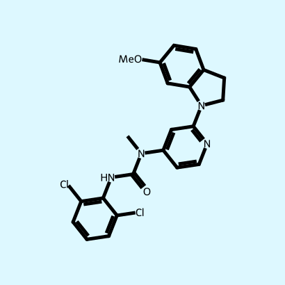 COc1ccc2c(c1)N(c1cc(N(C)C(=O)Nc3c(Cl)cccc3Cl)ccn1)CC2